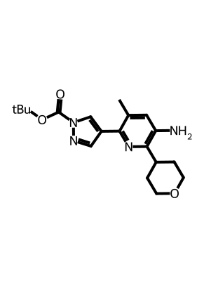 Cc1cc(N)c(C2CCOCC2)nc1-c1cnn(C(=O)OC(C)(C)C)c1